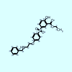 CCOC(=O)c1cc(S(=O)(=O)c2ccc(OCCNCc3ccccc3)cc2)ccc1O